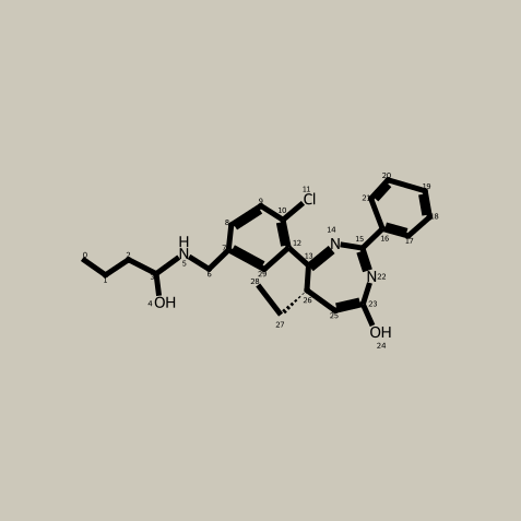 CCCC(O)NCc1ccc(Cl)c(C2=NC(c3ccccc3)=NC(O)=C[C@@H]2CC)c1